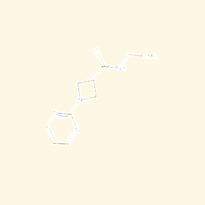 COCNC(=O)C1CN(c2ncccn2)C1